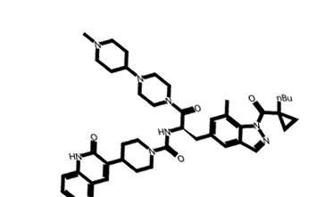 CCCCC1(C(=O)n2ncc3cc(C[C@@H](NC(=O)N4CCC(c5cc6ccccc6[nH]c5=O)CC4)C(=O)N4CCN(C5CCN(C)CC5)CC4)cc(C)c32)CC1